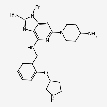 CC(C)n1c(C(C)(C)C)nc2c(NCc3ccccc3OC3CCNC3)nc(N3CCC(N)CC3)nc21